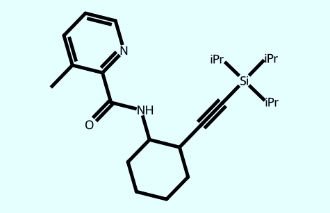 Cc1cccnc1C(=O)NC1CCCCC1C#C[Si](C(C)C)(C(C)C)C(C)C